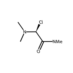 CNC(=O)[C@H](Cl)N(C)C